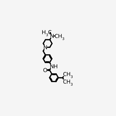 CC(C)c1cccc(C(=O)Nc2ccc(CN3CCC(N(C)C)CC3)cc2)c1